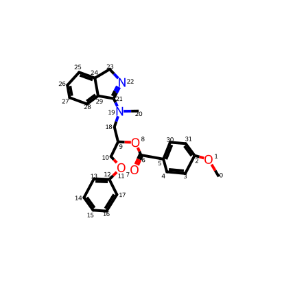 COc1ccc(C(=O)OC(COc2ccccc2)CN(C)C2=NCc3ccccc32)cc1